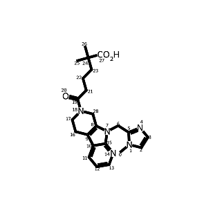 Cn1ccnc1Cn1c2c(c3cccnc31)CCN(C(=O)CCCC(C)(C)C(=O)O)C2